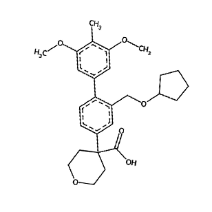 COc1cc(-c2ccc(C3(C(=O)O)CCOCC3)cc2COC2CCCC2)cc(OC)c1C